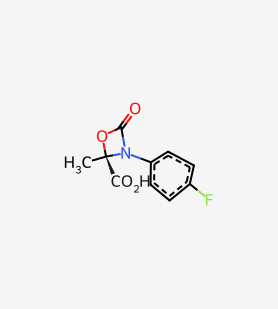 C[C@]1(C(=O)O)OC(=O)N1c1ccc(F)cc1